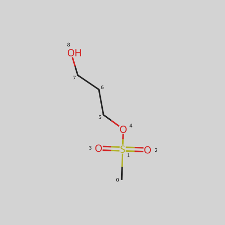 CS(=O)(=O)OCCCO